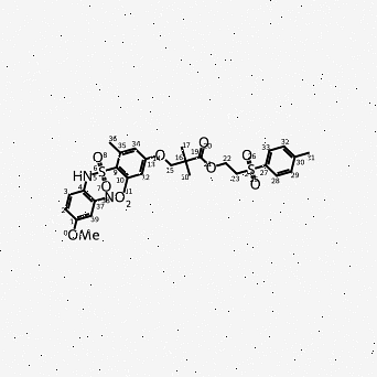 COc1ccc(NS(=O)(=O)c2c(C)cc(OCC(C)(C)C(=O)OCCS(=O)(=O)c3ccc(C)cc3)cc2C)c([N+](=O)[O-])c1